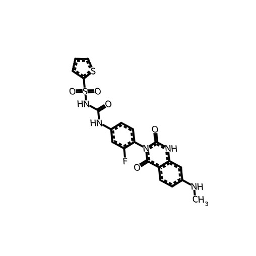 CNc1ccc2c(=O)n(-c3ccc(NC(=O)NS(=O)(=O)c4cccs4)cc3F)c(=O)[nH]c2c1